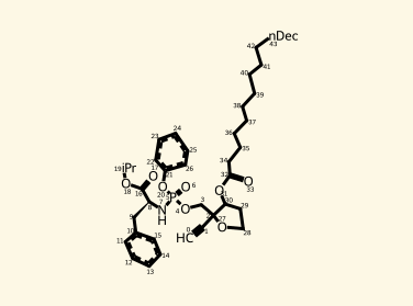 C#CC1(COP(=O)(N[C@@H](Cc2ccccc2)C(=O)OC(C)C)Oc2ccccc2)OCCC1OC(=O)CCCCCCCCCCCCCCCCCCC